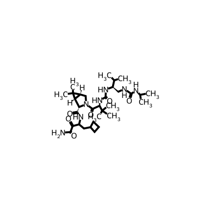 CC(C)NC(=O)NC[C@@H](NC(=O)N[C@H](C(=O)N1C[C@H]2[C@@H]([C@H]1C(=O)NC(CC1CCC1)C(=O)C(N)=O)C2(C)C)C(C)(C)C)C(C)C